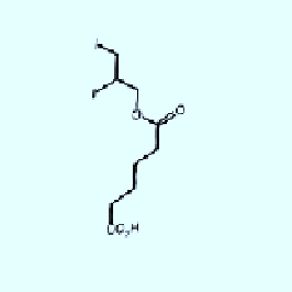 O=C(O)CCCCC(=O)OCC(I)CI